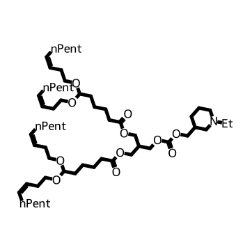 CCCCC/C=C\CCOC(CCCCC(=O)OCC(COC(=O)CCCCC(OCC/C=C\CCCCC)OCC/C=C\CCCCC)COC(=O)OCC1CCCN(CC)C1)OCC/C=C\CCCCC